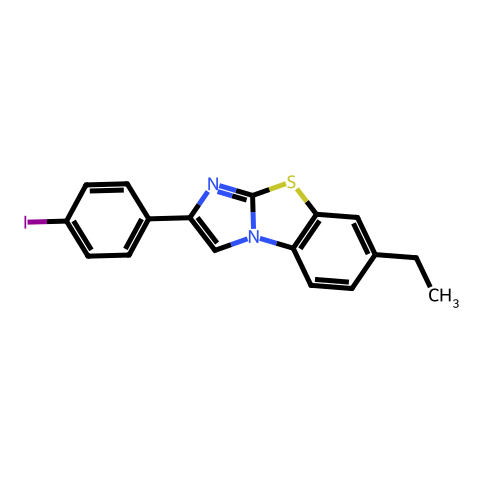 CCc1ccc2c(c1)sc1nc(-c3ccc(I)cc3)cn12